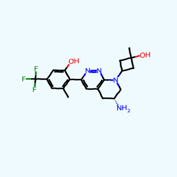 Cc1cc(C(F)(F)F)cc(O)c1-c1cc2c(nn1)N(C1CC(C)(O)C1)C[C@H](N)C2